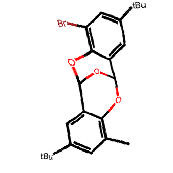 Cc1cc(C(C)(C)C)cc2c1OC1OC2Oc2c(Br)cc(C(C)(C)C)cc21